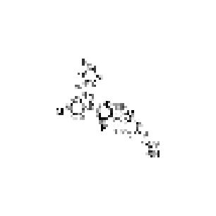 C[C@@]1(c2ccc(CCC(=O)O)cc2)C(=O)Nc2nc(-c3nn(Cc4cccc(F)c4)c4cc(Cl)ccc34)nc(N)c21